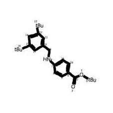 CC(C)(C)OC(=O)c1ccc(NCc2cc(C(C)(C)C)cc(C(C)(C)C)c2)cc1